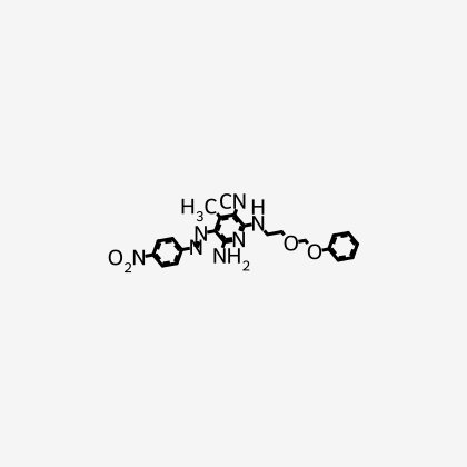 Cc1c(C#N)c(NCCOCOc2ccccc2)nc(N)c1/N=N/c1ccc([N+](=O)[O-])cc1